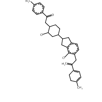 C=C(Cc1ccc2c(c1Cl)CC(C1CCC(CC(=O)c3ccc(C)cc3)C(Cl)C1)C2)C1=CC=C(C)CC1